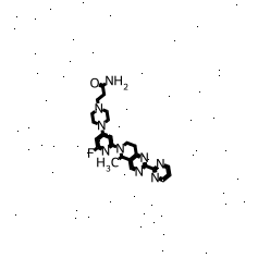 CC1c2cnc(-c3ncccn3)nc2CCN1c1cc(N2CCN(CCC(N)=O)CC2)cc(F)n1